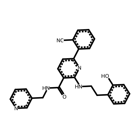 N#Cc1ccccc1-c1ccc(C(=O)NCc2cccnc2)c(NCCc2ccccc2O)n1